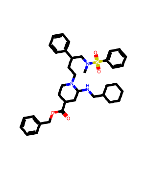 CN(CC(CCN1CCC(C(=O)OCc2ccccc2)CC1NCC1CCCCC1)c1ccccc1)S(=O)(=O)c1ccccc1